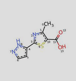 Cc1nc(-c2ccn[nH]2)sc1C(=O)O